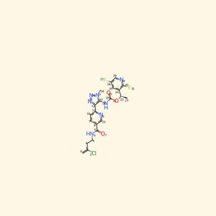 C=C(Cl)CCNC(=O)c1ccc(-c2nnn(C)c2NC(=O)O[C@H](C)c2cc(F)cnc2F)nc1